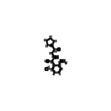 Nc1cccc(Cl)c1C(=O)NCC(=O)N1CCCC1